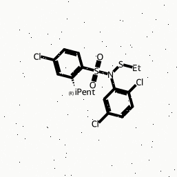 CCC[C@@H](C)c1cc(Cl)ccc1S(=O)(=O)N(SCC)c1cc(Cl)ccc1Cl